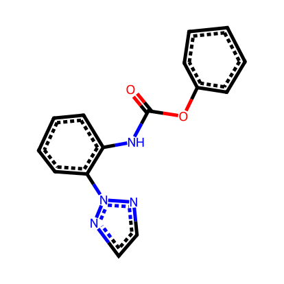 O=C(Nc1ccccc1-n1nccn1)Oc1ccccc1